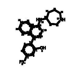 Oc1cc(C(F)(F)F)ccc1-c1nnc(NC2CCCNCC2)c2cnccc12